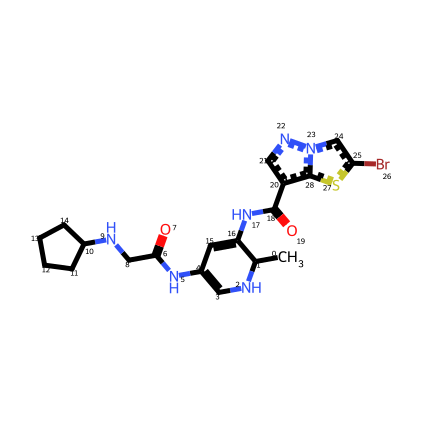 CC1NC=C(NC(=O)CNC2CCCC2)C=C1NC(=O)c1cnn2cc(Br)sc12